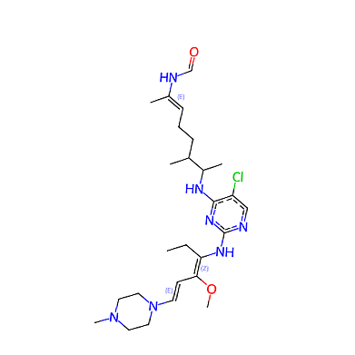 CC/C(Nc1ncc(Cl)c(NC(C)C(C)CC/C=C(\C)NC=O)n1)=C(\C=C\N1CCN(C)CC1)OC